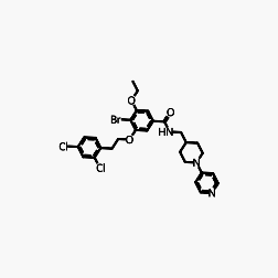 CCOc1cc(C(=O)NCC2CCN(c3ccncc3)CC2)cc(OCCc2ccc(Cl)cc2Cl)c1Br